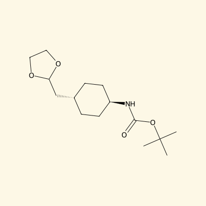 CC(C)(C)OC(=O)N[C@H]1CC[C@H](CC2OCCO2)CC1